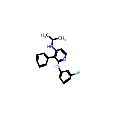 CC(C)Nc1ccnc(Nc2cccc(F)c2)c1-c1ccccc1